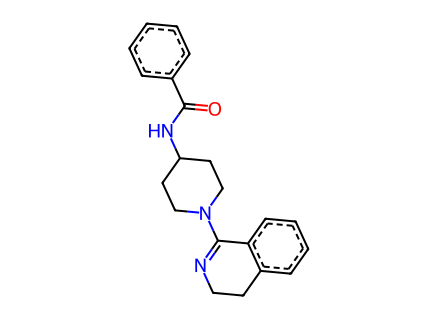 O=C(NC1CCN(C2=NCCc3ccccc32)CC1)c1ccccc1